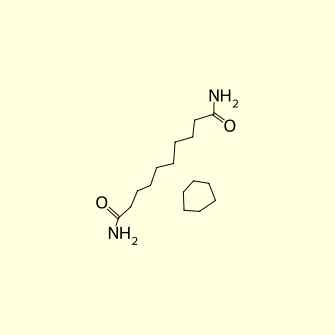 C1CCCCC1.NC(=O)CCCCCCCCC(N)=O